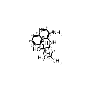 CC(C)C[C@@H](Nc1c(N)cnc2ccccc12)C(C)(C)O